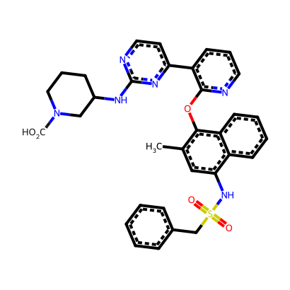 Cc1cc(NS(=O)(=O)Cc2ccccc2)c2ccccc2c1Oc1ncccc1-c1ccnc(NC2CCCN(C(=O)O)C2)n1